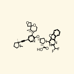 C[C@@H]1N(c2cc(C#C[C@]3(C)CCCN3C)cnc2O[C@H]2C[C@@H](C(=O)O)N(c3nc(C(F)F)nc4c3oc3ccccc34)C2)CCOC12COC2